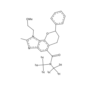 [2H]C([2H])([2H])N(C(=O)c1cc2nc(C)n(CCOC)c2c2c1CCC(c1ccccc1)O2)C([2H])([2H])[2H]